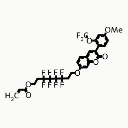 C=CC(=O)OCCC(F)(F)C(F)(F)C(F)(F)C(F)(F)CCOc1ccc2cc(-c3ccc(OC)cc3OC(F)(F)F)c(=O)oc2c1